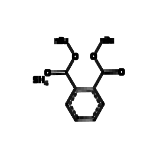 CCCCOC(=O)c1ccccc1C(=O)OCCCC.[SiH4]